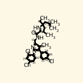 C=C(C)CC(CC)(CCC)NCC(=O)NCc1nn(-c2ccc(Cl)cc2Cl)c(-c2ccc(Cl)cc2)c1C